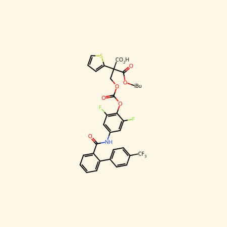 CCC(C)OC(=O)C(COC(=O)Oc1c(F)cc(NC(=O)c2ccccc2-c2ccc(C(F)(F)F)cc2)cc1F)(C(=O)O)c1cccs1